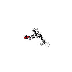 CC(C)(C)c1csc(CCc2ccn3c(=O)c(C=CC(=O)O)c(N4CCN(C(=O)C[N+]56CCN(CC5)CC6)CC4)nc3c2)n1